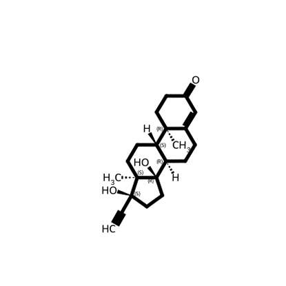 C#C[C@@]1(O)CC[C@@]2(O)[C@@H]3CCC4=CC(=O)CC[C@]4(C)[C@H]3CC[C@]12C